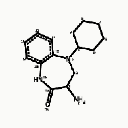 NC1CN(C2CCCCC2)c2ccccc2NC1=O